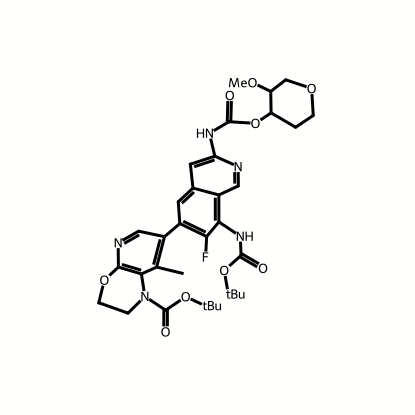 COC1COCCC1OC(=O)Nc1cc2cc(-c3cnc4c(c3C)N(C(=O)OC(C)(C)C)CCO4)c(F)c(NC(=O)OC(C)(C)C)c2cn1